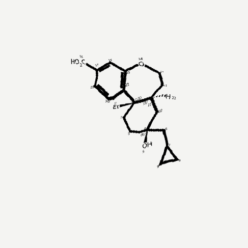 CC[C@]12CC[C@@](O)(CC3CC3)C[C@@H]1CCOc1cc(C(=O)O)ccc12